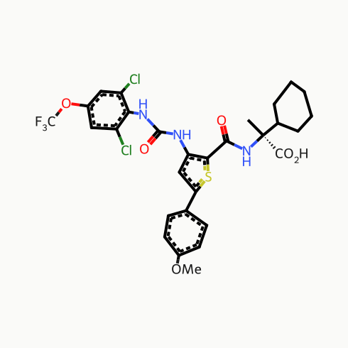 COc1ccc(-c2cc(NC(=O)Nc3c(Cl)cc(OC(F)(F)F)cc3Cl)c(C(=O)N[C@](C)(C(=O)O)C3CCCCC3)s2)cc1